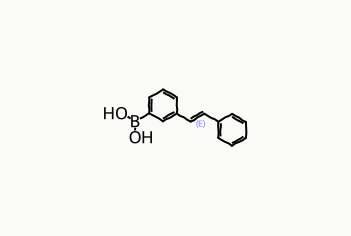 OB(O)c1cccc(/C=C/c2ccccc2)c1